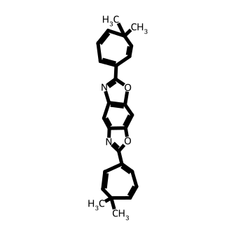 CC1(C)C=CC=C(c2nc3cc4nc(C5=CC=CC(C)(C)C=C5)oc4cc3o2)C=C1